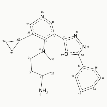 NC1CCN(c2c(-c3nnc(-c4ccccc4)o3)cncc2C2CC2)CC1